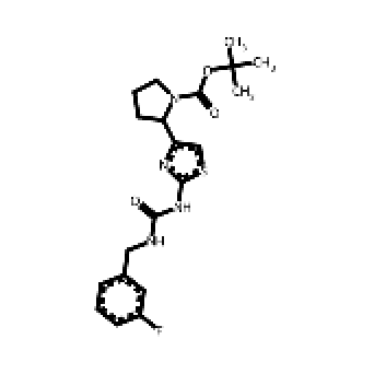 CC(C)(C)OC(=O)N1CCCC1c1csc(NC(=O)NCc2cccc(F)c2)n1